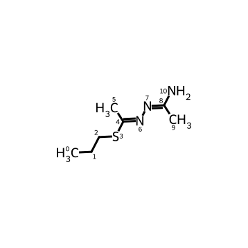 CCCS/C(C)=N/N=C(\C)N